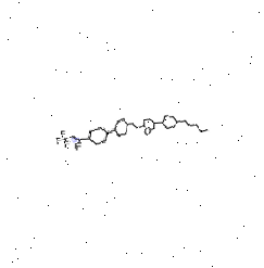 CCCCCC1CCC(C2CCC(CCC3CCC(C4CCC(/C(F)=C/C(F)(F)F)CC4)CC3)OC2)CC1